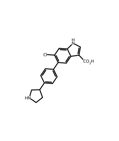 O=C(O)c1c[nH]c2cc(Cl)c(-c3ccc(C4CCNC4)cc3)cc12